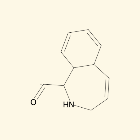 O=[C]C1NCC=CC2C=CC=CC21